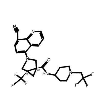 N#Cc1ccc(N2C[C@]3(C(=O)NC4CCN(CC(F)(F)F)CC4)C[C@]3(C(F)(F)F)C2)c2cccnc12